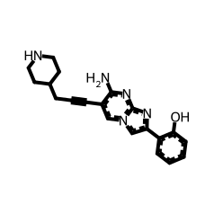 Nc1nc2nc(-c3ccccc3O)cn2cc1C#CCC1CCNCC1